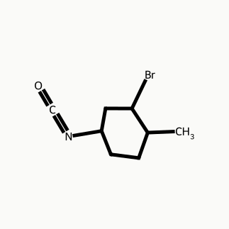 CC1CCC(N=C=O)CC1Br